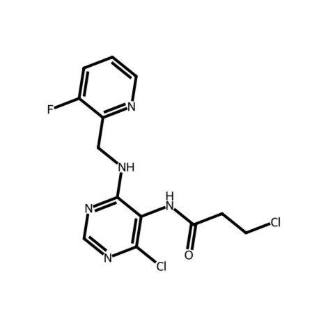 O=C(CCCl)Nc1c(Cl)ncnc1NCc1ncccc1F